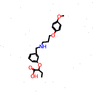 CCC(Oc1cccc(CNCCCOc2ccc(OC)cc2)c1)C(=O)O